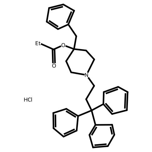 CCC(=O)OC1(Cc2ccccc2)CCN(CCC(c2ccccc2)(c2ccccc2)c2ccccc2)CC1.Cl